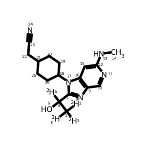 [2H]C([2H])([2H])C([2H])(O)c1nc2cnc(NC)cc2n1C1CCC(CC#N)CC1